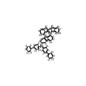 C1=C(N(c2ccc(-c3ccccc3)cc2)c2ccc(-c3ccccc3)cc2)CCc2sc3c(N4c5c(sc6ccccc56)C5Sc6ccccc6C54)cccc3c21